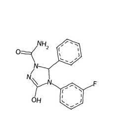 NC(=O)N1N=C(O)N(c2cccc(F)c2)C1c1ccccc1